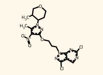 Cc1c([N+](=O)[O-])c(OCCCn2nc(Cl)c3cnc(Cl)nc32)nn1C1CCOCC1C